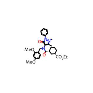 CCOC(=O)[C@H]1CCC[C@@H](C(=O)N(Cc2ccc(OC)cc2OC)c2c(C)n(C)n(-c3ccccc3)c2=O)C1